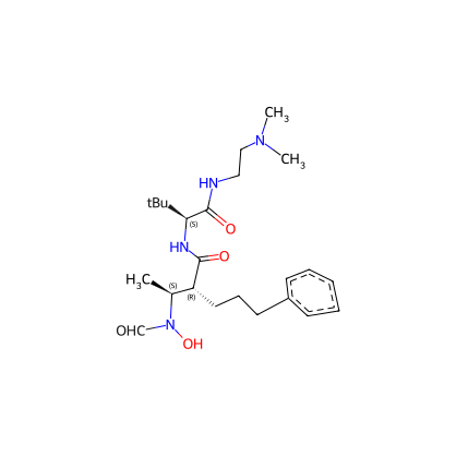 C[C@@H]([C@@H](CCCc1ccccc1)C(=O)N[C@H](C(=O)NCCN(C)C)C(C)(C)C)N(O)C=O